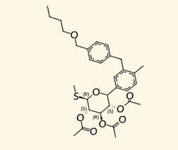 CCCCOCc1ccc(Cc2cc(C3O[C@H](SC)[C@@H](OC(C)=O)[C@H](OC(C)=O)[C@H]3OC(C)=O)ccc2C)cc1